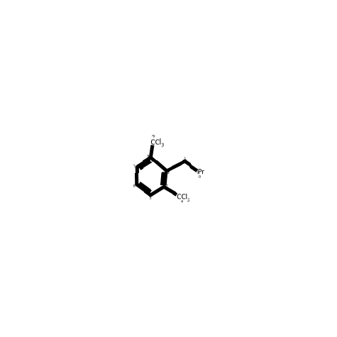 [CH2]C(C)Cc1c(C(Cl)(Cl)Cl)cccc1C(Cl)(Cl)Cl